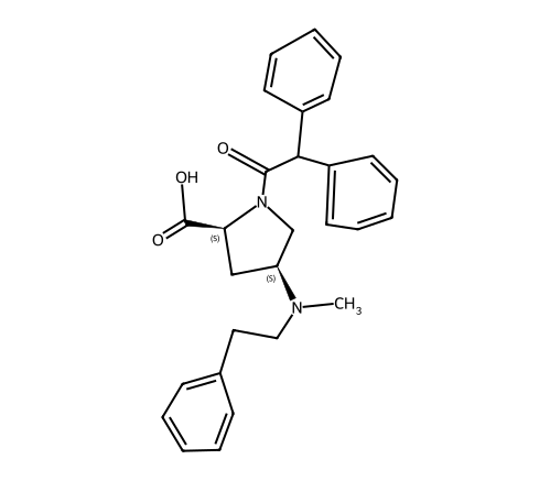 CN(CCc1ccccc1)[C@H]1C[C@@H](C(=O)O)N(C(=O)C(c2ccccc2)c2ccccc2)C1